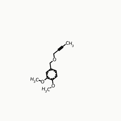 CC#CCOCc1ccc(OC)c(OC)c1